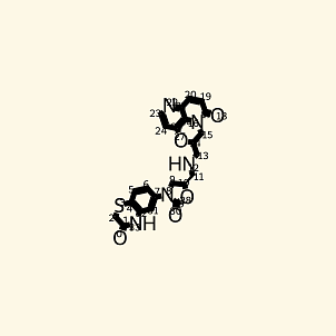 O=C1CSc2ccc(N3C[C@@H](CNCC4Cn5c(=O)ccc6nccc(c65)O4)OC3=O)cc2N1